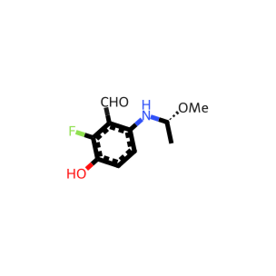 CO[C@H](C)Nc1ccc(O)c(F)c1C=O